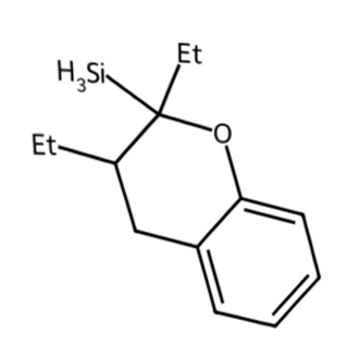 CCC1Cc2ccccc2OC1([SiH3])CC